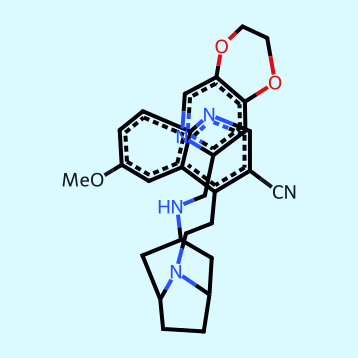 COc1ccc2ncc(C#N)c(CCN3C4CCC3CC(NCc3cc5c(cn3)OCCO5)C4)c2c1